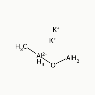 [CH3][AlH3-2][O][AlH2].[K+].[K+]